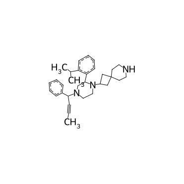 CC#CC(c1ccccc1)N1CCN(C2CC3(CCNCC3)C2)C(c2ccccc2C(C)C)C1